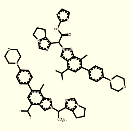 CCOC(=O)C(c1ncn2c1CCC2)n1cc2c(C(F)F)cc(-c3ccc(N4CCOCC4)cc3)c(C)c2n1.Cc1c(-c2ccc(N3CCOCC3)cc2)cc(C(F)F)c2cn(C(C(=O)Nc3nccs3)c3ncn4c3CCC4)nc12